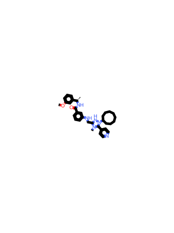 COc1cccc([C@H](C)NC(=O)c2cccc(NCC3NN(C4CCCCCCCC4)C(c4ccncc4)N3C)c2)c1